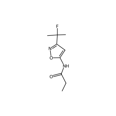 CCC(=O)Nc1cc(C(C)(C)F)no1